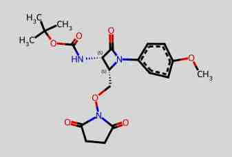 COc1ccc(N2C(=O)[C@@H](NC(=O)OC(C)(C)C)[C@H]2CON2C(=O)CCC2=O)cc1